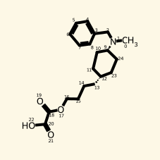 CN(Cc1ccccc1)[C@H]1CC[C@@H](CCCCOC(=O)C(=O)O)CC1